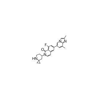 Cc1cn2cc(-c3cc(F)c4c(=O)n(C5CCNC6(CC6)C5)ccc4c3)cc(C)c2n1